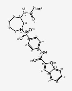 C=CC(=O)NC1CCCCN(S(=O)(=O)c2ccc(NC(=O)c3cc4ccccc4o3)cc2)C1